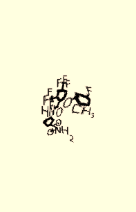 Cc1ccc(F)cc1Oc1cc(C(F)(F)F)cc(C(F)(F)F)c1C(=O)Nc1cccc(S(N)(=O)=O)c1